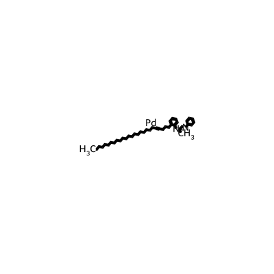 CCCCCCCCCCCCCCCCCCCCCC#CCCCc1ccccc1N=C(C)C=Nc1ccccc1.[Pd]